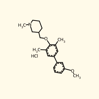 COc1cccc(-c2cc(C)c(OCC3CCCN(C)C3)c(C)c2)c1.Cl